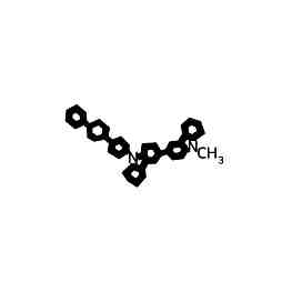 Cn1c2ccccc2c2cc(-c3ccc4c(c3)c3ccccc3n4-c3ccc(C4=CCC(c5ccccc5)C=C4)cc3)ccc21